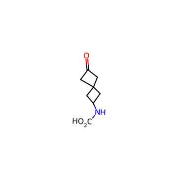 O=C1CC2(C1)CC(NC(=O)O)C2